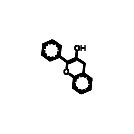 OC1=C(c2ccccc2)Oc2ccccc2C1